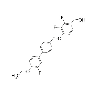 CCOc1ccc(-c2ccc(COc3ccc(CO)c(F)c3F)cc2)cc1F